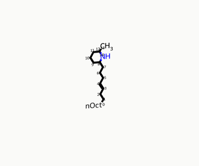 CCCCCCCCCCC=CCCCC1CCCC(C)N1